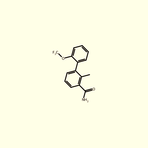 Cc1c(C(N)=O)cccc1-c1ccccc1OC(F)(F)F